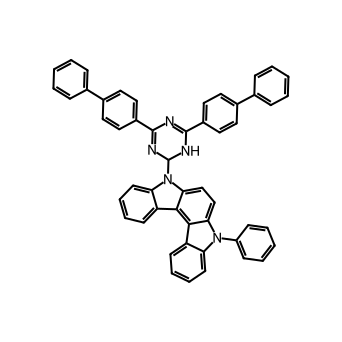 c1ccc(-c2ccc(C3=NC(n4c5ccccc5c5c6c7ccccc7n(-c7ccccc7)c6ccc54)NC(c4ccc(-c5ccccc5)cc4)=N3)cc2)cc1